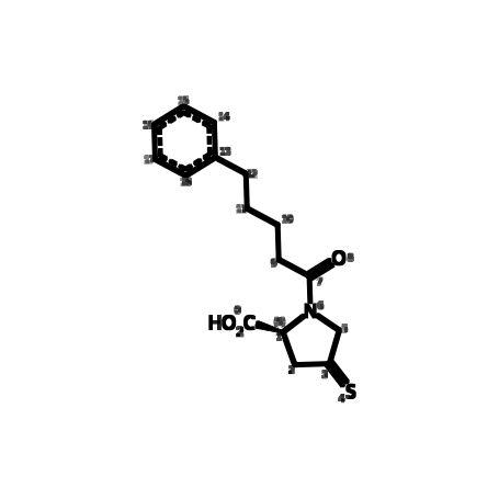 O=C(O)[C@@H]1CC(=S)CN1C(=O)CCCCc1ccccc1